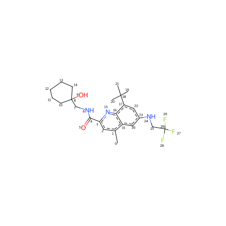 Cc1cc(C(=O)NCC2(O)CCCCC2)nc2c(C(C)(C)C)cc(NCC(F)(F)F)cc12